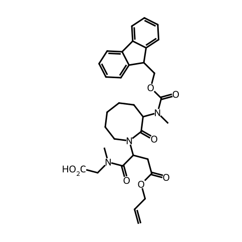 C=CCOC(=O)CC(C(=O)N(C)CC(=O)O)N1CCCCCC(N(C)C(=O)OCC2c3ccccc3-c3ccccc32)C1=O